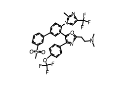 Cc1nc(C(F)(F)F)cn1-c1ccc(-c2cccc(S(C)(=O)=O)c2)cc1-c1oc(CCN(C)C)nc1-c1ccc(OC(F)(F)F)cc1